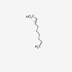 C=CCCCC/C=C/C(=O)O